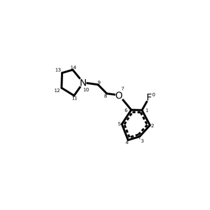 Fc1c[c]ccc1OCCN1CCCC1